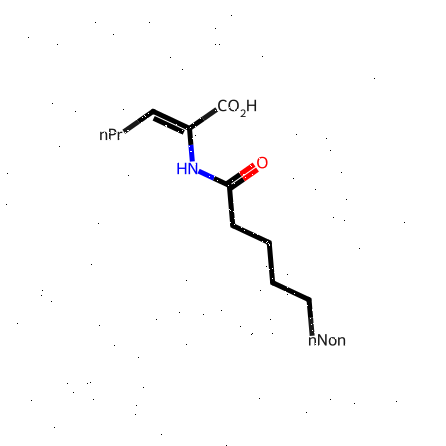 CCCC=C(NC(=O)CCCCCCCCCCCCC)C(=O)O